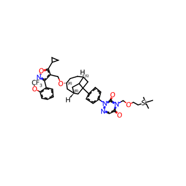 C[Si](C)(C)CCOCn1c(=O)cnn(-c2ccc(C34C[C@H]5CC3[C@@H](CC[C@@H](OCc3c(-c6ccccc6OC(F)(F)F)noc3C3CC3)C5)C4)cc2)c1=O